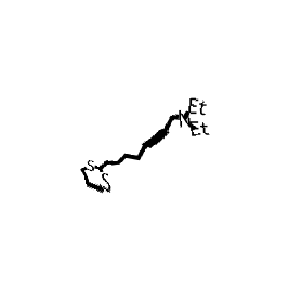 CCN(CC)CC#CCCCCC1SCCCS1